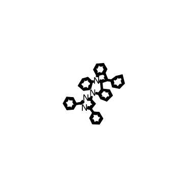 c1ccc(-c2cc(N3c4ccccc4-c4c(-c5ccccc5)c5ccccc5n4-c4ccccc43)nc(-c3ccccc3)n2)cc1